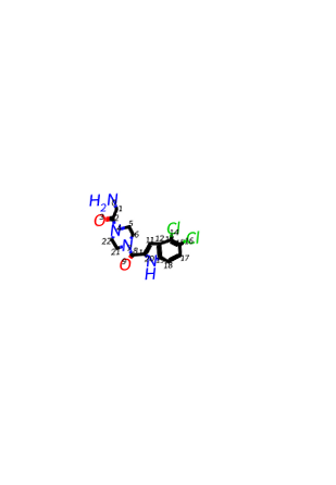 NCC(=O)N1CCN(C(=O)c2cc3c(Cl)c(Cl)ccc3[nH]2)CC1